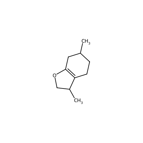 CC1CCC2=C(C1)OCC2C